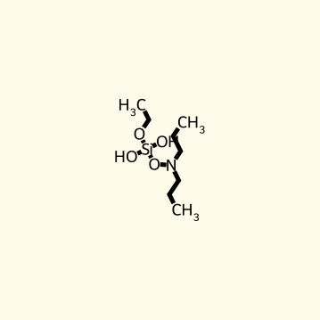 CCCN(CCC)O[Si](O)(O)OCC